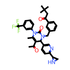 CC(=O)C1=C(C)N(c2cccc(C(F)(F)F)c2)C(=O)N(Cc2cccc(C(=O)CC(C)(C)C)c2)C1c1ccc(C2CN2)nc1